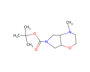 CN1CCOC2CN(C(=O)OC(C)(C)C)CC21